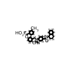 Cc1cccc(C(Oc2ccc(Cl)c(Cn3nnc4cc(C(=O)NC5CCCc6ccccc65)ccc43)c2)C(=O)O)c1